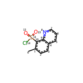 Cc1ccc2cccnc2c1S(=O)(=O)Cl